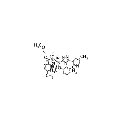 COCCO[C@H](c1ncc(C)cn1)[C@H](C)S(=O)(=O)N(C)c1nnc(-c2cncc(C)c2)n1-c1c(C)cccc1OC